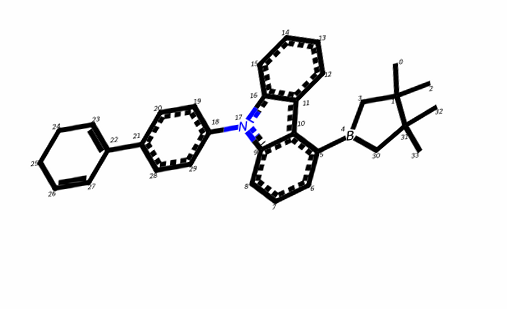 CC1(C)CB(c2cccc3c2c2ccccc2n3-c2ccc(C3=CCCC=C3)cc2)CC1(C)C